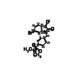 CN(C)S(=O)(=O)c1ccc(CN2C(=O)C(=O)c3ccc(Br)cc32)cc1